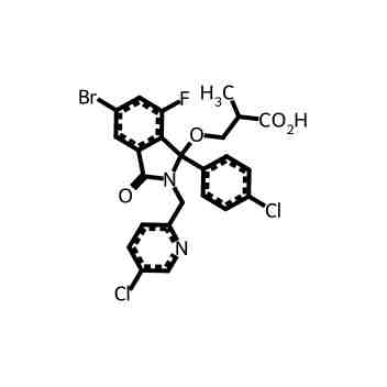 CC(COC1(c2ccc(Cl)cc2)c2c(F)cc(Br)cc2C(=O)N1Cc1ccc(Cl)cn1)C(=O)O